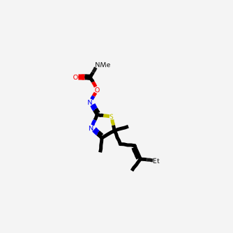 CCC(C)=CCC1(C)SC(=NOC(=O)NC)N=C1C